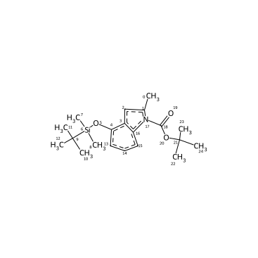 Cc1cc2c(O[Si](C)(C)C(C)(C)C)cccc2n1C(=O)OC(C)(C)C